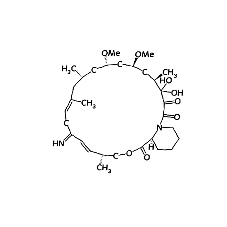 CO[C@@H]1C[C@@H](OC)C[C@@H](C)C/C(C)=C/CC(=N)/C=C/[C@@H](C)COC(=O)[C@@H]2CCCCN2C(=O)C(=O)C(O)(O)[C@H](C)C1